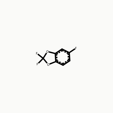 Fc1ccc2c(c1)OC(F)(F)O2